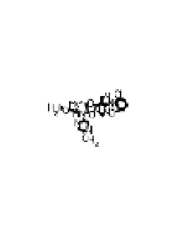 Cc1cnc(NC(=O)[C@H](CN2CC(OP)C2)Oc2ncnc3c2cnn3-c2c(Cl)cccc2Cl)cn1